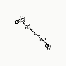 CNC(=O)[C@H](Cc1ccccc1)NC(=O)COCC(=O)NCCOCCOCCOCCNC(=O)CCc1ccc(O)c([123I])c1